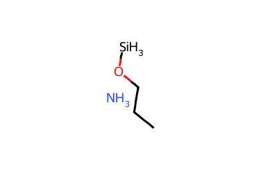 CCCO[SiH3].N